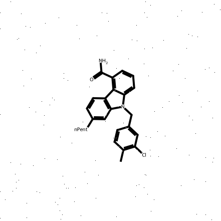 CCCCCc1c[c]c2c3c(C(N)=O)cccc3n(Cc3ccc(C)c(Cl)c3)c2c1